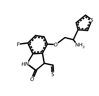 NC(COc1ccc(F)c2c1C(C=S)C(=O)N2)c1ccsc1